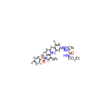 CCOC(=O)NC(=O)/C(C#N)=N/Nc1cc(C)c(Cc2ccc3c(n2)c(C(C)C)cn3S(=O)(=O)c2ccc(C)cc2)c(C)c1